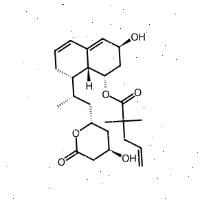 C=CCC(C)(C)C(=O)O[C@H]1C[C@H](O)C=C2C=CC[C@@H]([C@@H](C)C[C@@H]3C[C@@H](O)CC(=O)O3)[C@H]21